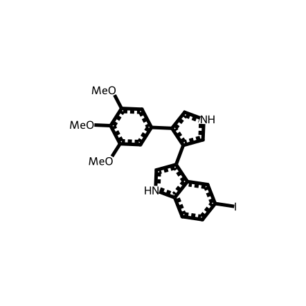 COc1cc(-c2c[nH]cc2-c2c[nH]c3ccc(I)cc23)cc(OC)c1OC